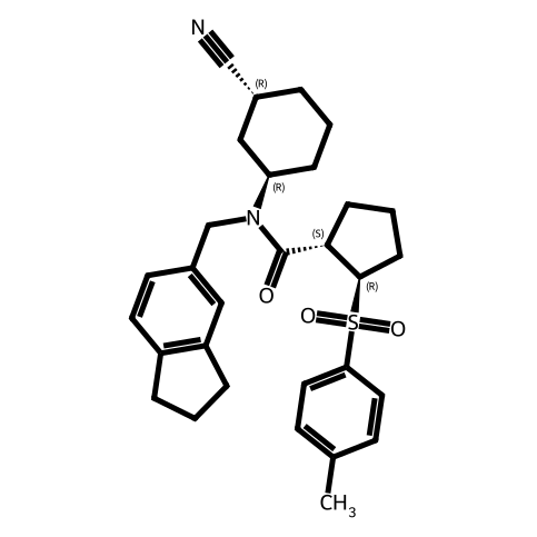 Cc1ccc(S(=O)(=O)[C@@H]2CCC[C@H]2C(=O)N(Cc2ccc3c(c2)CCC3)[C@@H]2CCC[C@@H](C#N)C2)cc1